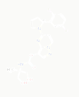 CC(CO)(CO)NC(=O)Oc1cnn2ccc(N3CCC[C@@H]3c3cc(F)ccc3F)nc12